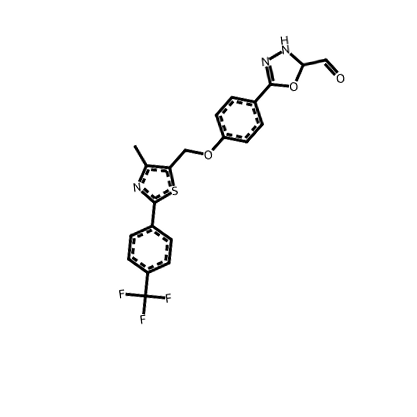 Cc1nc(-c2ccc(C(F)(F)F)cc2)sc1COc1ccc(C2=NNC(C=O)O2)cc1